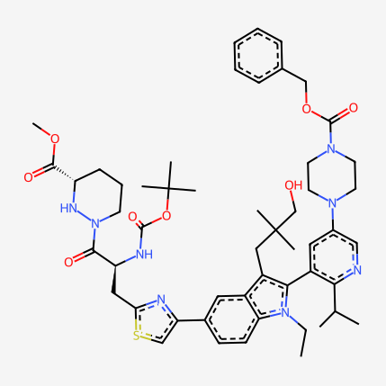 CCn1c(-c2cc(N3CCN(C(=O)OCc4ccccc4)CC3)cnc2C(C)C)c(CC(C)(C)CO)c2cc(-c3csc(C[C@H](NC(=O)OC(C)(C)C)C(=O)N4CCC[C@@H](C(=O)OC)N4)n3)ccc21